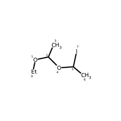 CCOC(C)OC(C)I